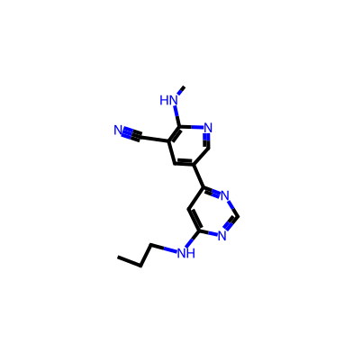 CCCNc1cc(-c2cnc(NC)c(C#N)c2)ncn1